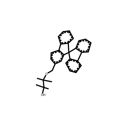 CC(C)(O)C(C)(C)OCc1ccc2c(c1)C1(c3ccccc3-c3ccccc31)c1ccccc1-2